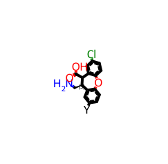 NC[C@@H]1c2c[c]([Y])ccc2Oc2ccc(Cl)cc2C1C(=O)O